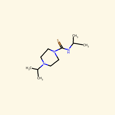 CC(C)NC(=S)N1CCN(C(C)C)CC1